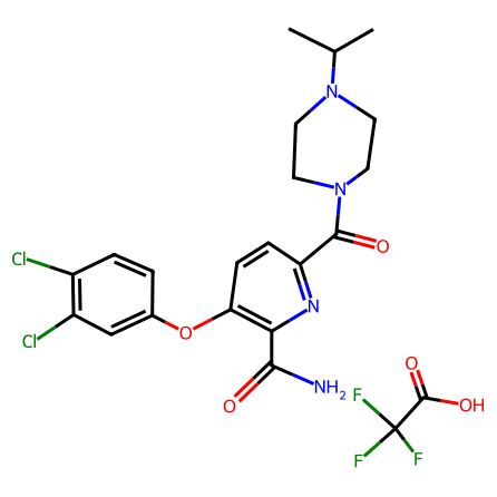 CC(C)N1CCN(C(=O)c2ccc(Oc3ccc(Cl)c(Cl)c3)c(C(N)=O)n2)CC1.O=C(O)C(F)(F)F